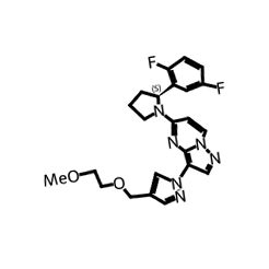 COCCOCc1cnn(-c2cnn3ccc(N4CCC[C@H]4c4cc(F)ccc4F)nc23)c1